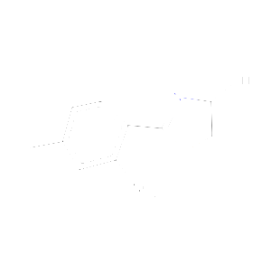 Cc1ccc(C2=NC(C)CS2)c([N+](=O)[O-])c1